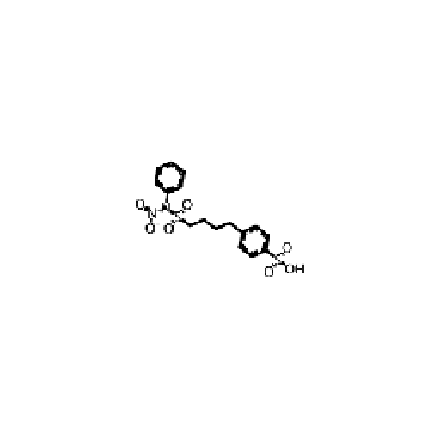 O=[N+]([O-])N(c1ccccc1)S(=O)(=O)CCCCc1ccc(S(=O)(=O)O)cc1